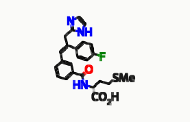 CSCC[C@@H](NC(=O)c1cccc(C=C(Cc2ncc[nH]2)c2ccc(F)cc2)c1)C(=O)O